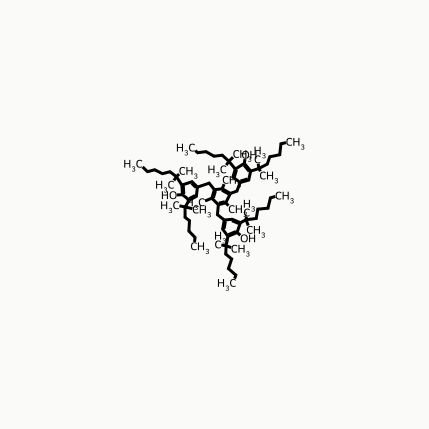 CCCCCC(C)(C)c1cc(Cc2c(C)c(Cc3cc(C(C)(C)CCCCC)c(O)c(C(C)(C)CCCCC)c3)c(C)c(Cc3cc(C(C)(C)CCCCC)c(O)c(C(C)(C)CCCCC)c3)c2C)cc(C(C)(C)CCCCC)c1O